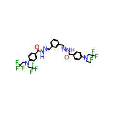 CCN(CC(F)(F)F)c1ccc(C(=O)N/N=C/c2cccc(/C=N/NC(=O)c3ccc(N(CC(F)(F)F)CC(F)(F)F)cc3)c2)cc1